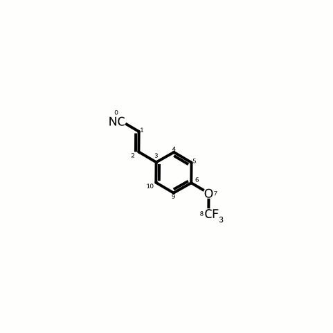 N#C/C=C/c1ccc(OC(F)(F)F)cc1